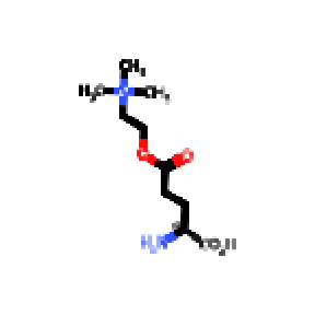 C[N+](C)(C)CCOC(=O)CC[C@H](N)C(=O)O